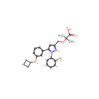 CC(C)(OCc1cc(-c2cccc(OC3CCC3)c2)n(-c2ccccc2Br)n1)C(=O)O